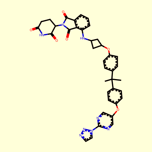 CC(C)(c1ccc(Oc2cnc(-n3ccnn3)nc2)cc1)c1ccc(OC2CC(Nc3cccc4c3C(=O)N(C3CCC(=O)NC3=O)C4=O)C2)cc1